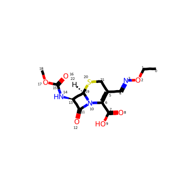 CCO/N=C/C1=C(C(=O)O)N2C(=O)[C@@H](NC(=O)OC)[C@H]2SC1